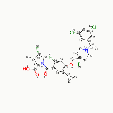 CC1[C@@H](C(=O)O)N(C(=O)c2cc(C3CC3)c(OCC3(F)CCN([C@@H](C)c4cc(Cl)cc(Cl)c4)CC3)cc2F)C[C@@H]1F